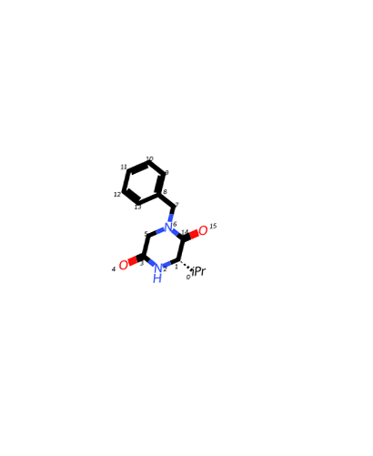 CC(C)[C@@H]1NC(=O)CN(Cc2ccccc2)C1=O